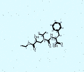 CCOC(=O)C(O)CN(C(=O)N[C@@H](Cc1ccccc1)C(=O)O)C(C)C